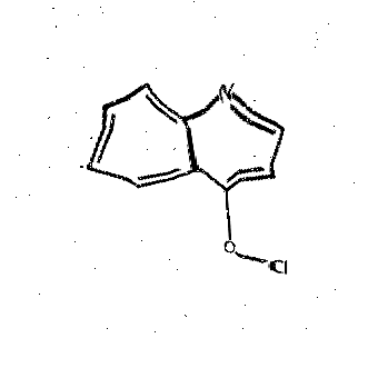 ClOc1ccnc2cc[c]cc12